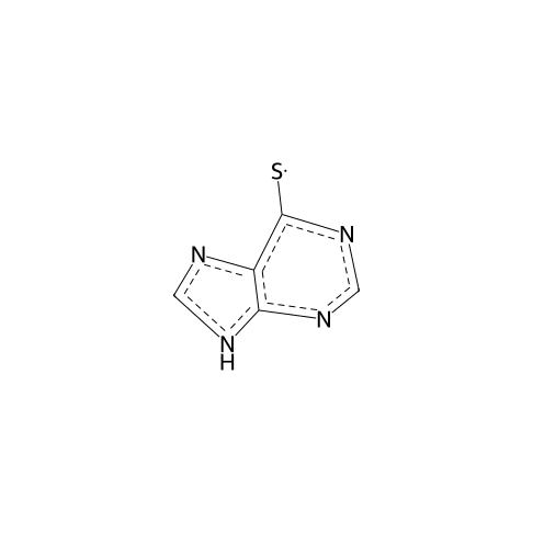 [S]c1ncnc2[nH]cnc12